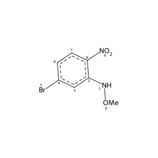 CONc1cc(Br)ccc1[N+](=O)[O-]